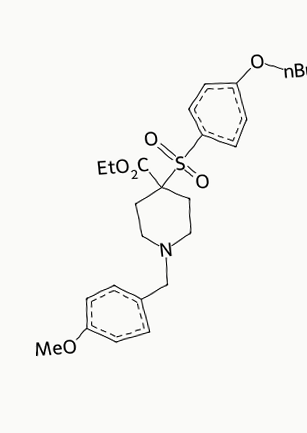 CCCCOc1ccc(S(=O)(=O)C2(C(=O)OCC)CCN(Cc3ccc(OC)cc3)CC2)cc1